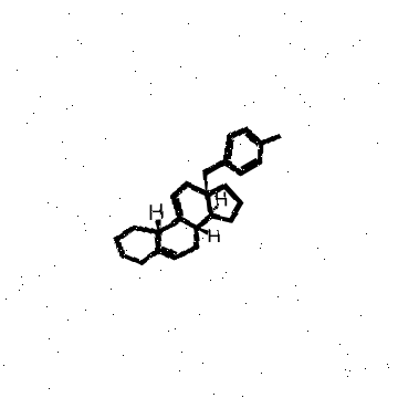 Cc1ccc(C[C@]23CC=C4[C@H]5CCCCC5=CC[C@H]4[C@@H]2CCC3)cc1